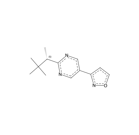 C[C@H](c1ncc(-c2ccon2)cn1)C(C)(C)C